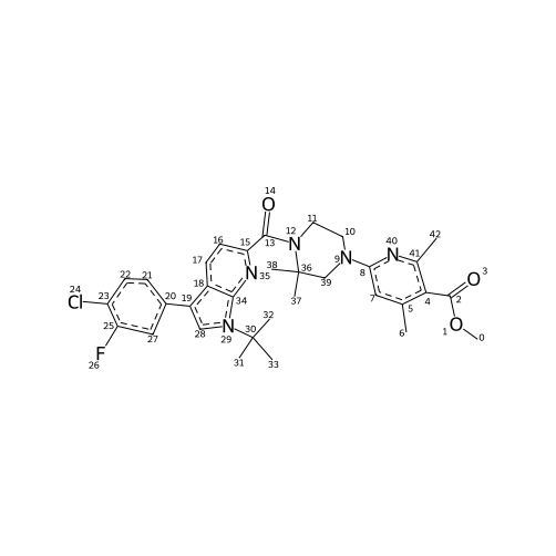 COC(=O)c1c(C)cc(N2CCN(C(=O)c3ccc4c(-c5ccc(Cl)c(F)c5)cn(C(C)(C)C)c4n3)C(C)(C)C2)nc1C